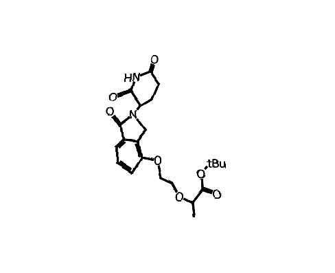 CC(OCCOc1cccc2c1CN(C1CCC(=O)NC1=O)C2=O)C(=O)OC(C)(C)C